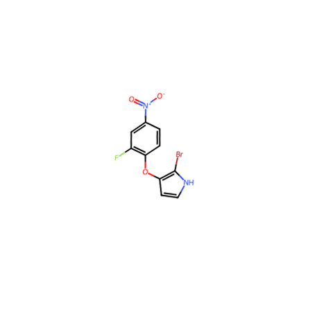 O=[N+]([O-])c1ccc(Oc2cc[nH]c2Br)c(F)c1